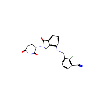 N#Cc1cccc(CNc2cccc3c2CN([C@@H]2CCC(=O)NC2=O)C3=O)c1F